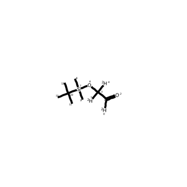 [2H]C(=O)C([2H])([2H])O[Si](C)(C)C(C)(C)C